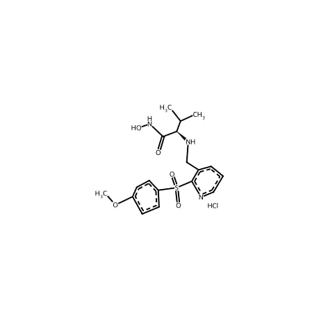 COc1ccc(S(=O)(=O)c2ncccc2CN[C@@H](C(=O)NO)C(C)C)cc1.Cl